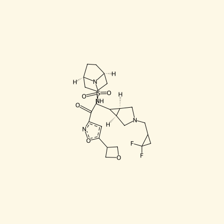 O=C(NC1C[C@H]2CC[C@@H](C1)N2S(=O)(=O)CC1[C@H]2CN(CC3CC3(F)F)C[C@@H]12)c1cc(C2COC2)on1